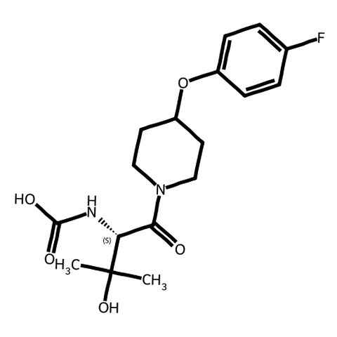 CC(C)(O)[C@H](NC(=O)O)C(=O)N1CCC(Oc2ccc(F)cc2)CC1